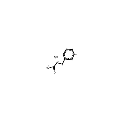 O=C(O)[C@H](O)Cc1cccnc1